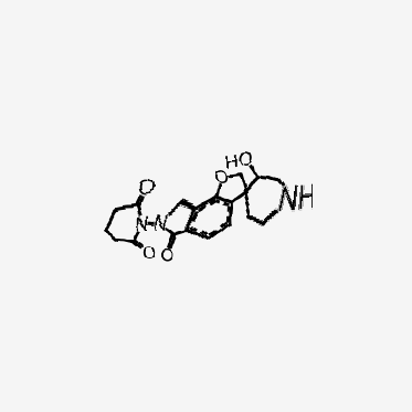 O=C1c2ccc3c(c2CN1N1C(=O)CCCC1=O)OCC31CCNCC1O